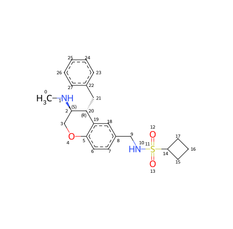 CN[C@@H]1COc2ccc(CNS(=O)(=O)C3CCC3)cc2[C@H]1Cc1ccccc1